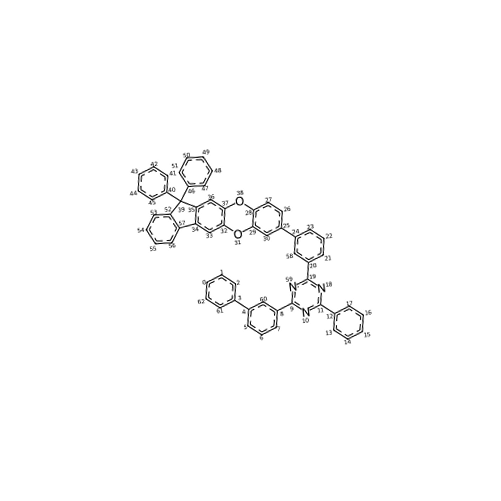 c1ccc(-c2cccc(-c3nc(-c4ccccc4)nc(-c4cccc(-c5ccc6c(c5)Oc5cc7c(cc5O6)C(c5ccccc5)(c5ccccc5)c5ccccc5-7)c4)n3)c2)cc1